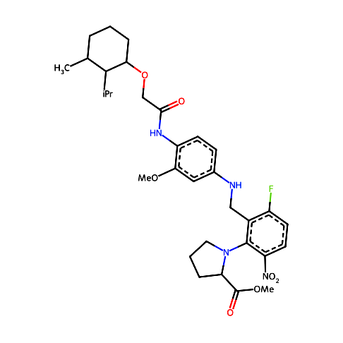 COC(=O)C1CCCN1c1c([N+](=O)[O-])ccc(F)c1CNc1ccc(NC(=O)COC2CCCC(C)C2C(C)C)c(OC)c1